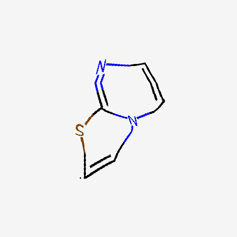 [c]1cn2ccnc2s1